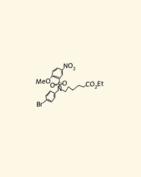 CCOC(=O)CCCCCN(c1ccc(Br)cc1)S(=O)(=O)c1cc([N+](=O)[O-])ccc1OC